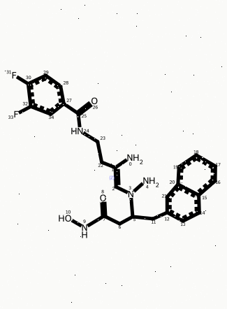 N/C(=C\N(N)C(CC(=O)NO)Cc1ccc2ccccc2c1)CCNC(=O)c1ccc(F)c(F)c1